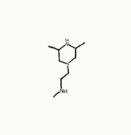 CNCCN1CC(C)NC(C)C1